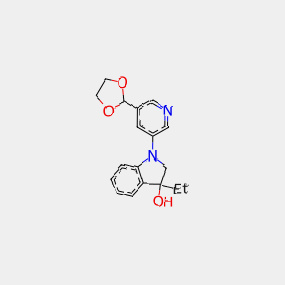 CCC1(O)CN(c2cncc(C3OCCO3)c2)c2ccccc21